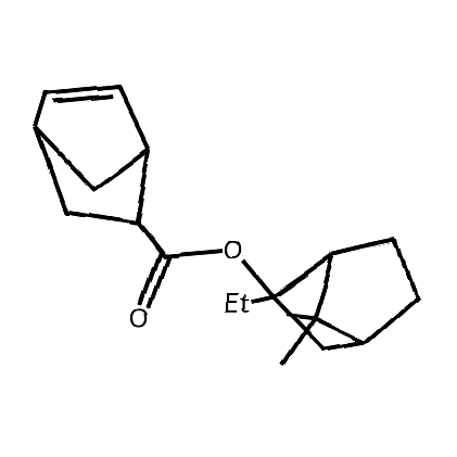 CCC1(OC(=O)C2CC3C=CC2C3)CC2CCC1C2(C)C